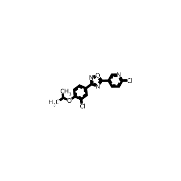 CC(C)Oc1ccc(-c2noc(-c3ccc(Cl)nc3)n2)cc1Cl